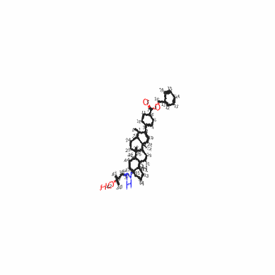 CC1C(C2=CCC(C(=O)OCc3ccccc3)CC2)=CC[C@@]2(C)C1CCC1(C)C2CCC2[C@H]3CCCC3(NCC(C)(C)O)CC[C@]21C